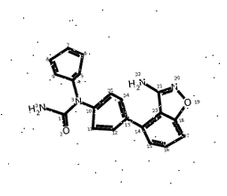 NC(=O)N(c1ccccc1)c1ccc(-c2cccc3onc(N)c23)cc1